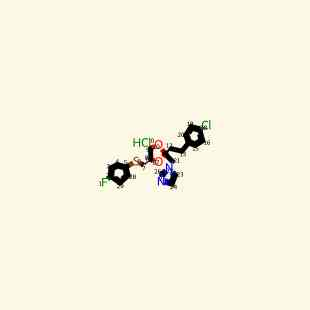 Cl.Fc1ccc(SC[C@@H]2CO[C@](CCc3ccc(Cl)cc3)(Cn3ccnc3)O2)cc1